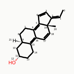 CC=C1C=CC2=C3CC[C@@H]4C[C@@H](O)CCC4=C3C=C[C@@]12C